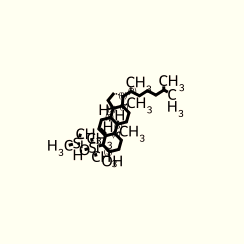 CC(C)CCC[C@@H](C)[C@H]1CC[C@H]2[C@@H]3CC=C4C([Si](C)(C)O[SiH](C)C)[C@@H](O)CC[C@]4(C)[C@H]3CC[C@]12C